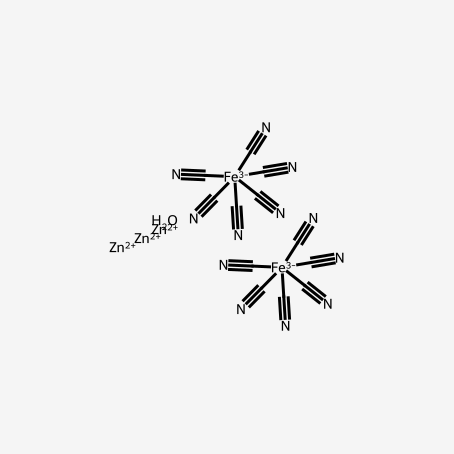 N#[C][Fe-3]([C]#N)([C]#N)([C]#N)([C]#N)[C]#N.N#[C][Fe-3]([C]#N)([C]#N)([C]#N)([C]#N)[C]#N.O.[Zn+2].[Zn+2].[Zn+2]